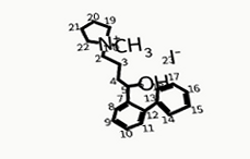 C[N+]1(CCCC(O)c2ccccc2-c2ccccc2)CCCC1.[I-]